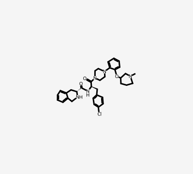 CN1CCCC(Oc2ccccc2N2CCN(C(=O)[C@@H](Cc3ccc(Cl)cc3)NC(=O)[C@H]3Cc4ccccc4CN3)CC2)C1